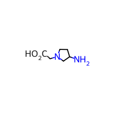 NC1CCN(CC(=O)O)C1